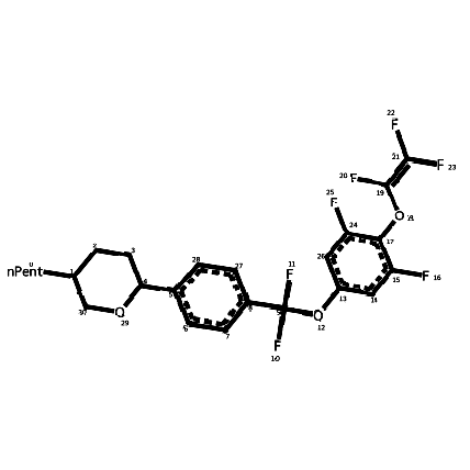 CCCCCC1CCC(c2ccc(C(F)(F)Oc3cc(F)c(OC(F)=C(F)F)c(F)c3)cc2)OC1